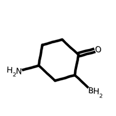 BC1CC(N)CCC1=O